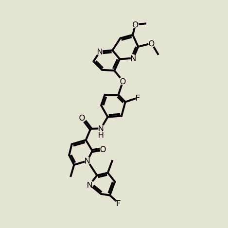 COc1cc2nccc(Oc3ccc(NC(=O)c4ccc(C)n(-c5ncc(F)cc5C)c4=O)cc3F)c2nc1OC